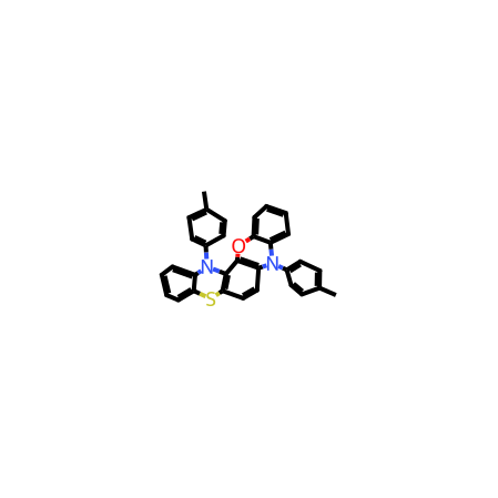 Cc1ccc(-n2c3ccccc3oc3c2ccc2sc4ccccc4n(-c4ccc(C)cc4)c23)cc1